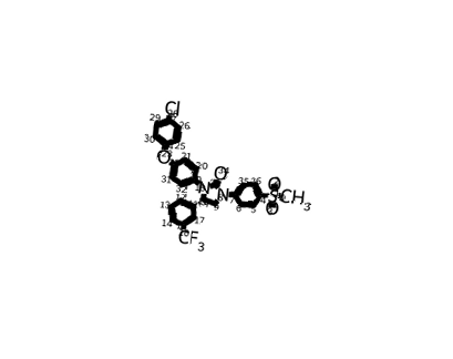 CS(=O)(=O)c1ccc(N2C[C@H](c3cccc(C(F)(F)F)c3)N(c3ccc(Oc4ccc(Cl)cc4)cc3)C2=O)cc1